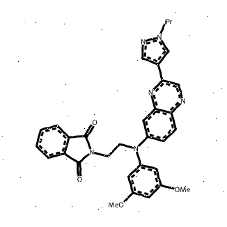 COc1cc(OC)cc(N(CCN2C(=O)c3ccccc3C2=O)c2ccc3ncc(-c4cnn(C(C)C)c4)nc3c2)c1